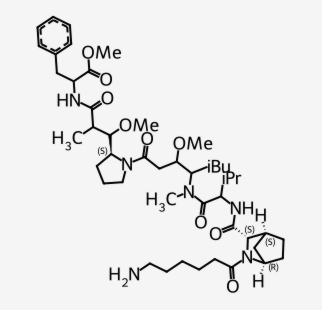 CCC(C)C(C(CC(=O)N1CCC[C@H]1C(OC)C(C)C(=O)NC(Cc1ccccc1)C(=O)OC)OC)N(C)C(=O)C(NC(=O)[C@@H]1[C@H]2CC[C@H](C2)N1C(=O)CCCCCN)C(C)C